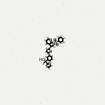 CC(O)(c1cccc(-c2csc(-c3cn(S(=O)(=O)c4ccccc4)c4ncccc34)n2)c1)c1nccs1